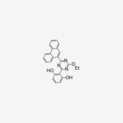 CCOc1nc(-c2c(O)cccc2O)nc(-c2cc3ccccc3c3ccccc23)n1